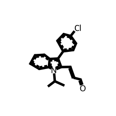 CC(C)n1c(/C=C/C=O)c(-c2ccc(Cl)cc2)c2ccccc21